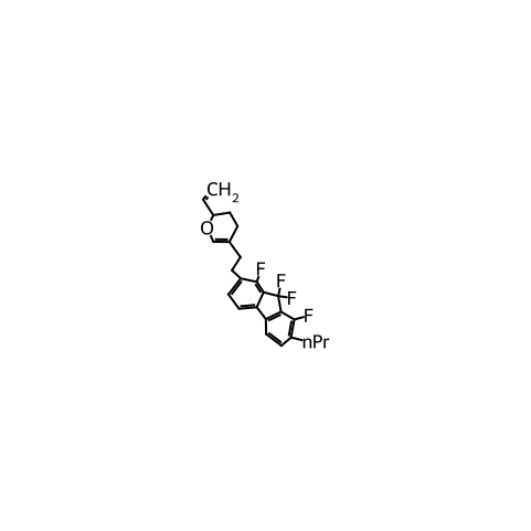 C=CC1CCC(CCc2ccc3c(c2F)C(F)(F)c2c-3ccc(CCC)c2F)=CO1